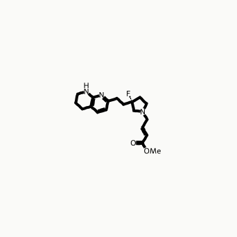 COC(=O)/C=C/CN1CC[C@](F)(CCc2ccc3c(n2)NCCC3)C1